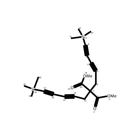 COC(=O)C(CC#CC#C[Si](C)(C)C)(CC#CC#C[Si](C)(C)C)C(=O)OC